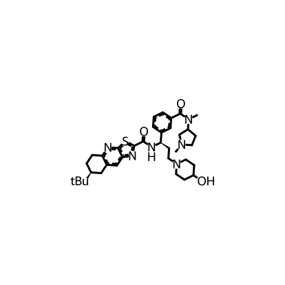 CN1CCC(N(C)C(=O)c2cccc([C@@H](CCN3CCC(O)CC3)NC(=O)c3nc4cc5c(nc4s3)CC[C@H](C(C)(C)C)C5)c2)C1